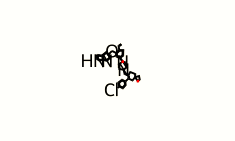 C=Cc1ccc(N2CCN(CC3=C(c4ccc(Cl)cc4)CC4(CCC4)CC3)CC2)cc1Oc1cnc2[nH]ccc2c1